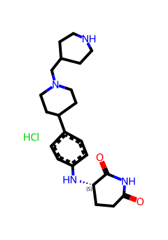 Cl.O=C1CC[C@H](Nc2ccc(C3CCN(CC4CCNCC4)CC3)cc2)C(=O)N1